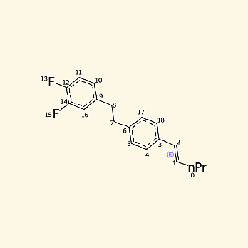 CCC/C=C/c1ccc(CCc2ccc(F)c(F)c2)cc1